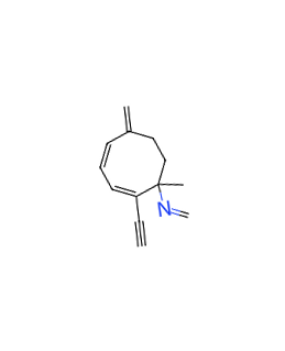 C#C/C1=C/C=C\C(=C)CCC1(C)N=C